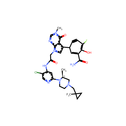 C[C@H]1CN(CC2(C(F)(F)F)CC2)CCN1c1cc(NC(=O)Cn2cc(C3C#CC(F)=C(O)C(C(N)=O)=C3)c3c(=O)n(C)cnc32)c(Cl)cn1